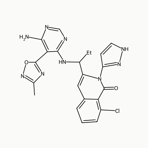 CCC(Nc1ncnc(N)c1-c1nc(C)no1)c1cc2cccc(Cl)c2c(=O)n1-c1cc[nH]n1